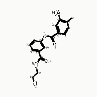 Cc1ccc(C(=O)Oc2cccc(C(=O)OCCCl)c2)cc1N